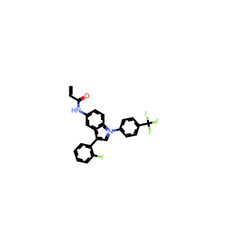 C=CC(=O)Nc1ccc2c(c1)c(-c1ccccc1F)cn2-c1ccc(C(F)(F)F)cc1